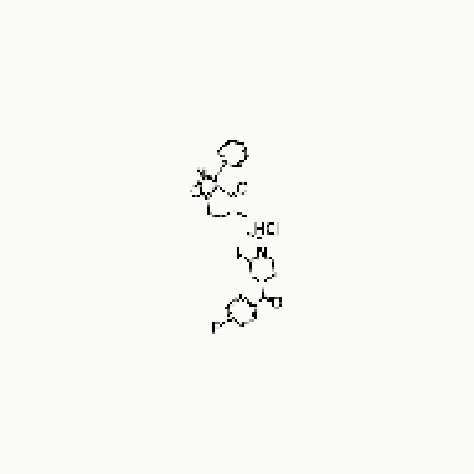 Cl.O=C(c1ccc(F)cc1)C1CCN(CCCC2CCc3onc(-c4ccccc4)c3C2=O)C(I)C1